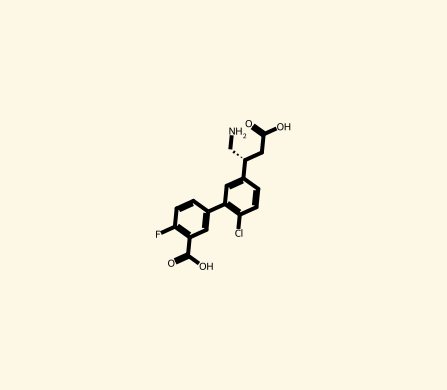 NC[C@H](CC(=O)O)c1ccc(Cl)c(-c2ccc(F)c(C(=O)O)c2)c1